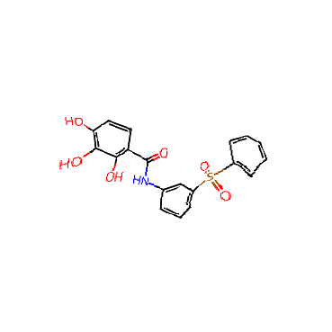 O=C(Nc1cccc(S(=O)(=O)c2ccccc2)c1)c1ccc(O)c(O)c1O